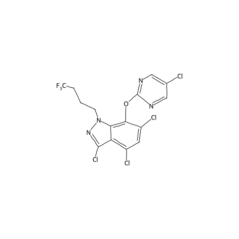 FC(F)(F)CCCn1nc(Cl)c2c(Cl)cc(Cl)c(Oc3ncc(Cl)cn3)c21